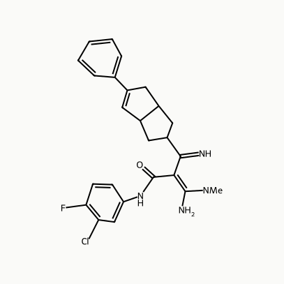 CN/C(N)=C(\C(=N)C1CC2C=C(c3ccccc3)CC2C1)C(=O)Nc1ccc(F)c(Cl)c1